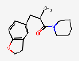 CC(Cc1ccc2c(c1)CCO2)C(=O)N1CCCCC1